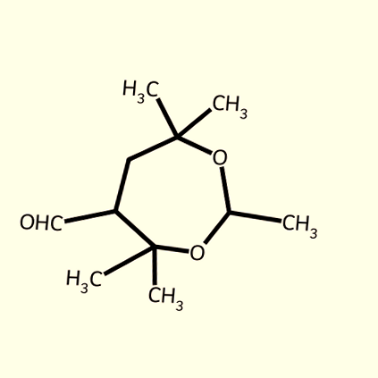 CC1OC(C)(C)CC(C=O)C(C)(C)O1